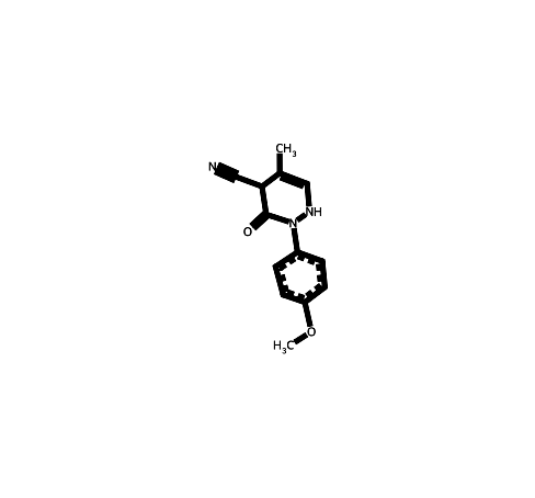 COc1ccc(N2NC=C(C)C(C#N)C2=O)cc1